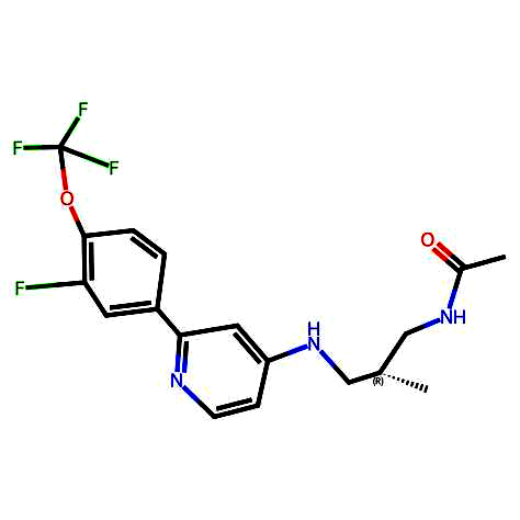 CC(=O)NC[C@H](C)CNc1ccnc(-c2ccc(OC(F)(F)F)c(F)c2)c1